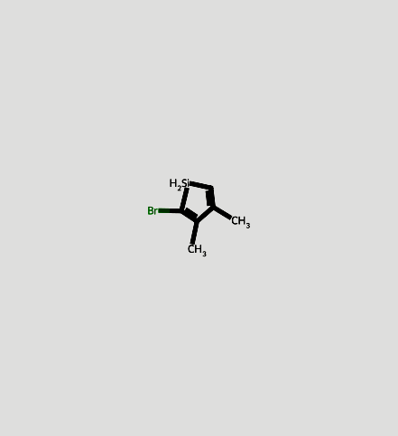 CC1=C[SiH2]C(Br)=C1C